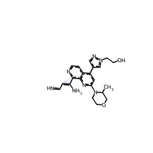 CC1COCCN1c1cc(-c2cnn(CCO)c2)c2ccnc(/C(N)=C/C=N)c2n1